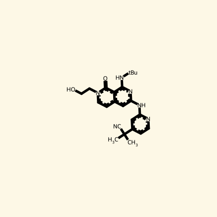 CC(C)(C)Nc1nc(Nc2cc(C(C)(C)C#N)ccn2)cc2ccn(CCO)c(=O)c12